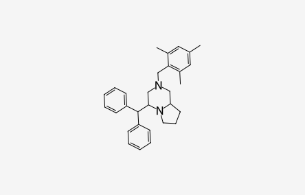 Cc1cc(C)c(CN2CC3CCCN3C(C(c3ccccc3)c3ccccc3)C2)c(C)c1